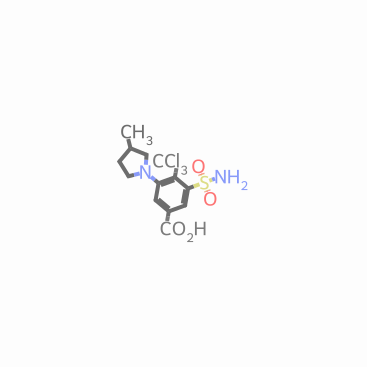 CC1CCN(c2cc(C(=O)O)cc(S(N)(=O)=O)c2C(Cl)(Cl)Cl)C1